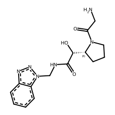 NCC(=O)N1CCC[C@@H]1C(O)C(=O)NCn1nnc2ccccc21